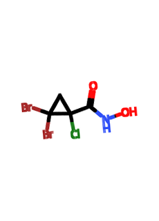 O=C(NO)C1(Cl)CC1(Br)Br